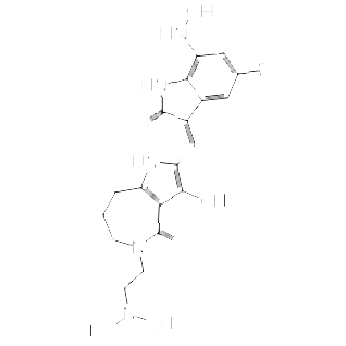 Cc1c(C=C2C(=O)Nc3c(NC=O)cc(F)cc32)[nH]c2c1C(=O)N(CCN(C)C)CCC2